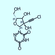 O=c1cnn([C@@H]2O[C@H](CO)C(O)[C@]2(O)C#CCl)c(=O)[nH]1